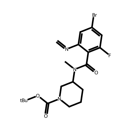 C=Nc1cc(Br)cc(F)c1C(=O)N(C)C1CCCN(C(=O)OC(C)(C)C)C1